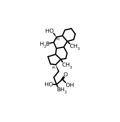 BC1C2C(CCC3(C)C2CC[C@@H]3CCC(B)(O)C(=O)O)C2(C)CCCCC2[C@@H]1O